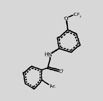 CC(=O)c1ccccc1C(=O)Nc1cccc(OC(F)(F)F)c1